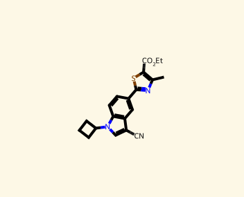 CCOC(=O)c1sc(-c2ccc3c(c2)c(C#N)cn3C2CCC2)nc1C